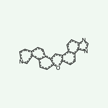 c1cc2ccc3c4cc5c(ccc6c5ccc5ncnc56)oc4ccc3c2cn1